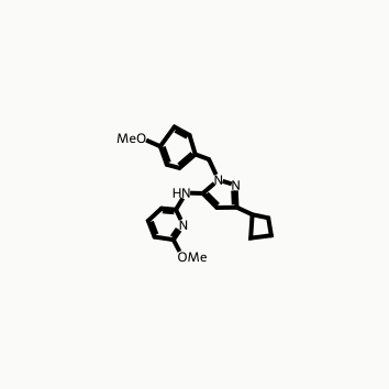 COc1ccc(Cn2nc(C3CCC3)cc2Nc2cccc(OC)n2)cc1